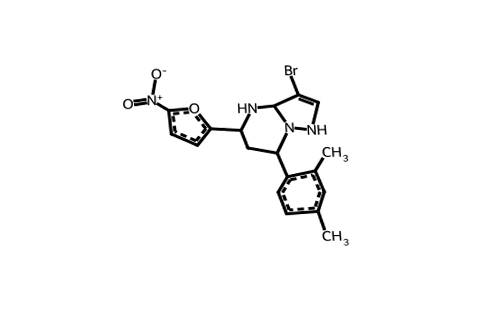 Cc1ccc(C2CC(c3ccc([N+](=O)[O-])o3)NC3C(Br)=CNN32)c(C)c1